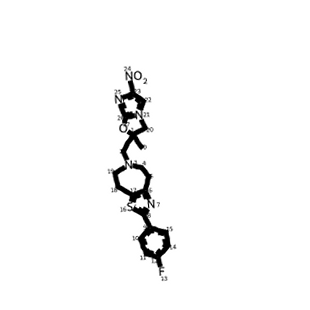 CC1(CN2CCc3nc(-c4ccc(F)cc4)sc3CC2)Cn2cc([N+](=O)[O-])nc2O1